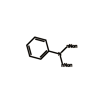 CCCCCCCCCN(CCCCCCCCC)c1ccccc1